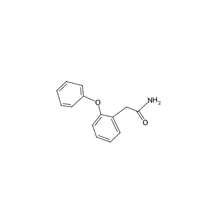 NC(=O)Cc1ccccc1Oc1ccccc1